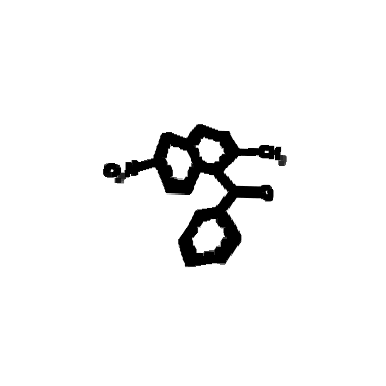 Cc1ccc2cc([N+](=O)[O-])ccc2c1C(=O)c1ccccc1